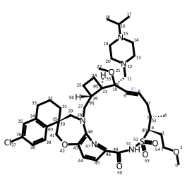 COCC[C@@H]1[C@@H](C)C/C=C/[C@](CN2CCN(C(C)C)CC2)(OC)[C@@H]2CC[C@H]2CN2C[C@@]3(CCCc4cc(Cl)ccc43)COc3ccc(nc32)C(=O)NS1(=O)=O